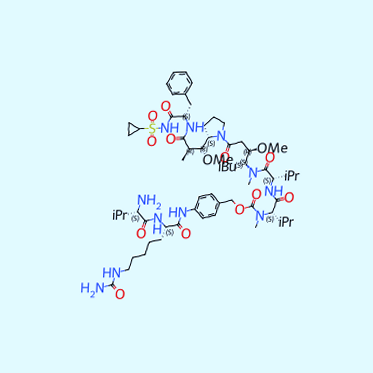 CC[C@H](C)[C@@H]([C@@H](CC(=O)N1CCC[C@H]1[C@H](OC)[C@@H](C)C(=O)N[C@@H](Cc1ccccc1)C(=O)NS(=O)(=O)C1CC1)OC)N(C)C(=O)[C@@H](NC(=O)[C@H](C(C)C)N(C)C(=O)OCc1ccc(NC(=O)[C@H](CCCCCNC(N)=O)NC(=O)[C@@H](N)C(C)C)cc1)C(C)C